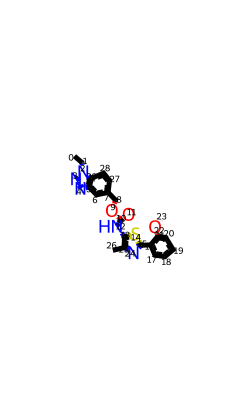 CCn1nnc2cc(COC(=O)Nc3sc(-c4ccccc4OC)nc3C)ccc21